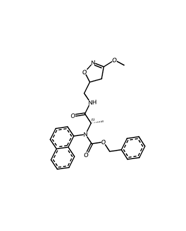 COC1=NOC(CNC(=O)[C@H](C)N(C(=O)OCc2ccccc2)c2cccc3ccccc23)C1